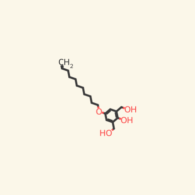 C=CCCCCCCCCCOc1cc(CO)c(O)c(CO)c1